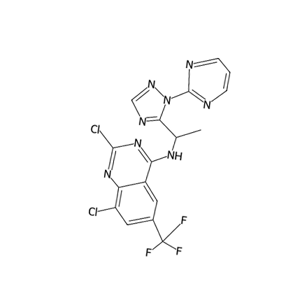 CC(Nc1nc(Cl)nc2c(Cl)cc(C(F)(F)F)cc12)c1ncnn1-c1ncccn1